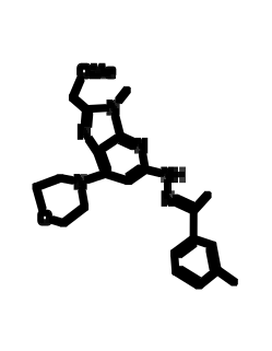 COCc1nc2c(N3CCOCC3)cc(N/N=C(\C)c3cccc(C)c3)nc2n1C